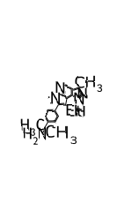 CCC1=C(c2ccc(C(C)(C)N)cc2)[N]c2ncc3c(C)n[nH]c3c21